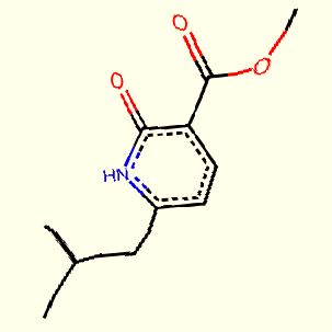 COC(=O)c1ccc(CC(C)C)[nH]c1=O